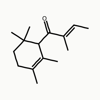 C/C=C(\C)C(=O)C1C(C)=C(C)CCC1(C)C